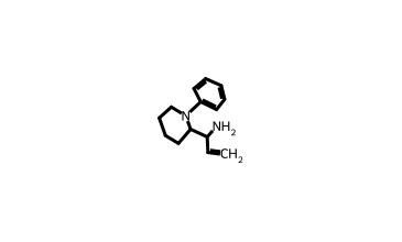 C=CC(N)C1CCCCN1c1ccccc1